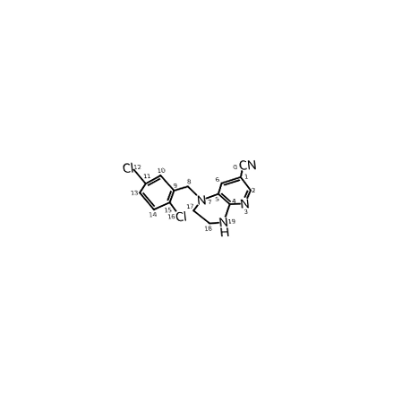 N#Cc1cnc2c(c1)N(Cc1cc(Cl)ccc1Cl)CCN2